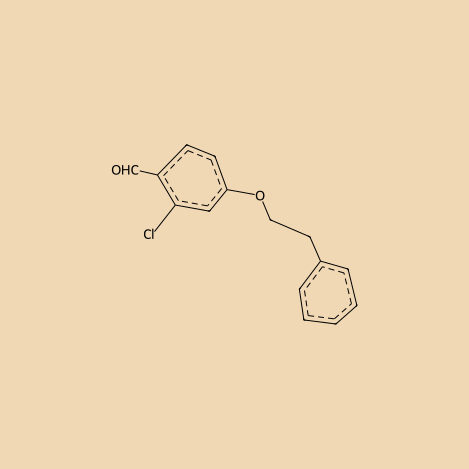 O=Cc1ccc(OCCc2ccccc2)cc1Cl